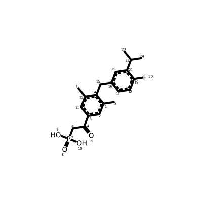 Cc1cc(C(=O)CP(=O)(O)O)cc(C)c1Cc1ccc(F)c(C(C)C)c1